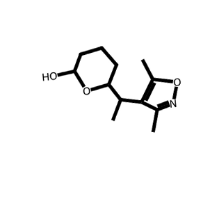 Cc1noc(C)c1C(C)C1CCCC(O)O1